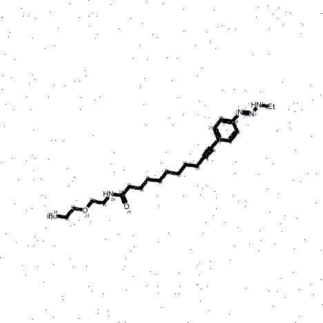 CCN/N=N/c1ccc(C#CCCCCCCCCC(=O)NCCOCCC(C)CC)cc1